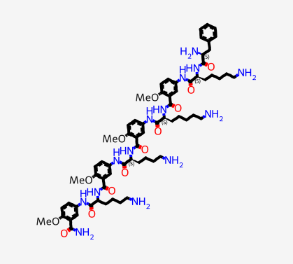 COc1ccc(NC(=O)C(CCCCN)NC(=O)c2cc(NC(=O)[C@H](CCCCN)NC(=O)c3cc(NC(=O)[C@H](CCCCCN)NC(=O)c4cc(NC(=O)[C@H](CCCCCN)NC(=O)[C@@H](N)Cc5ccccc5)ccc4OC)ccc3OC)ccc2OC)cc1C(N)=O